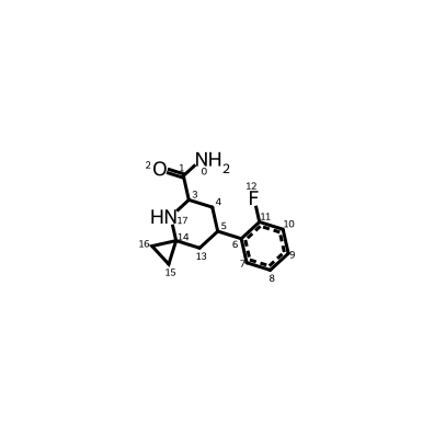 NC(=O)C1CC(c2ccccc2F)CC2(CC2)N1